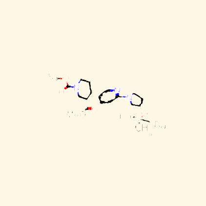 COC(=O)[C@@H]1CN(C(=O)OC(C)(C)C)CC[C@@H]1c1ccc(N2CC[C@H](O[Si](C)(C)C(C)(C)C)C2)nc1